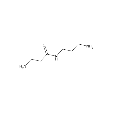 NCCCNC(=O)CCN